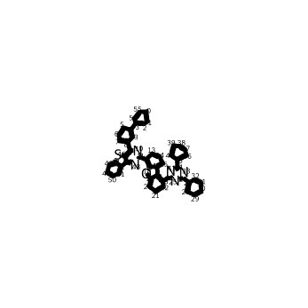 c1ccc(-c2cccc(-c3nc(-c4cccc5c4oc4cccc(-c6nc(-c7ccccc7)nc(-c7ccccc7)n6)c45)nc4c3sc3ccccc34)c2)cc1